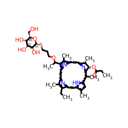 CCC(=O)O[C@@H]1c2nc(cc3[nH]c(cc4nc(cc5[nH]c(cc5C)c2C)C(CC)=C4C)c(C(C)OCCCS[C@@H]2O[C@H](CO)[C@@H](O)[C@H](O)[C@H]2O)c3C)[C@@H]1C